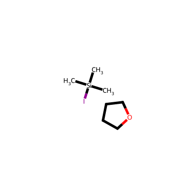 C1CCOC1.C[Si](C)(C)I